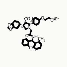 Cc1ccccc1C(NC(=O)CN1C[C@H](c2ccc3c(c2)OCO3)[C@@H](C(=O)O)[C@@H]1c1ccc(OCCOC(C)C)cc1)c1ccccc1C